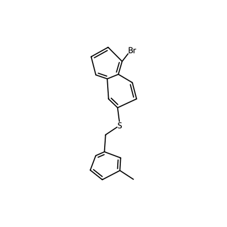 Cc1cccc(CSc2ccc3c(Br)cccc3c2)c1